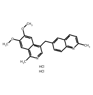 COc1cc2c(Cc3ccc4nc(C)ccc4c3)cnc(C)c2cc1OC.Cl.Cl